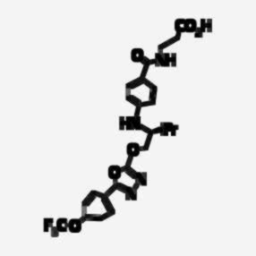 CC(C)[C@@H](COc1nnc(-c2ccc(OC(F)(F)F)cc2)o1)Nc1ccc(C(=O)NCCC(=O)O)cc1